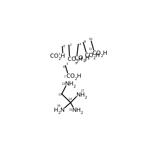 CC(=O)O.CC(=O)O.CC(=O)O.CC(=O)O.CC(=O)O.CC(=O)O.NCC(N)(N)N